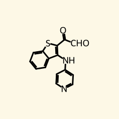 O=CC(=O)c1sc2ccccc2c1Nc1ccncc1